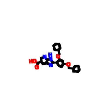 O=C(O)c1cnc2[nH]c(-c3ccc(OCc4ccccc4)cc3OCc3ccccc3)nc2c1